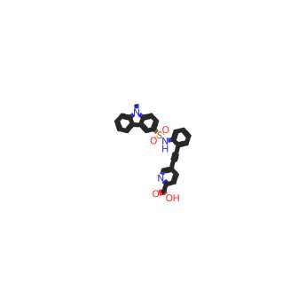 Cn1c2ccccc2c2cc(S(=O)(=O)Nc3ccccc3C#Cc3ccc(C(=O)O)nc3)ccc21